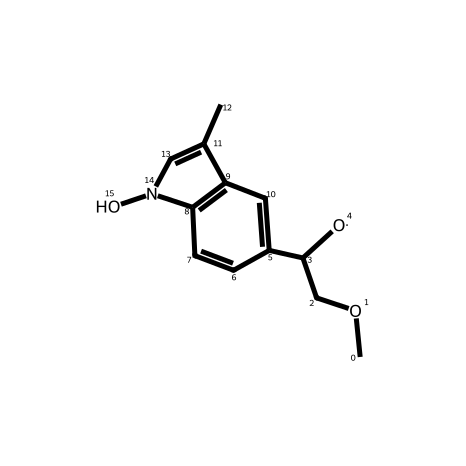 COCC([O])c1ccc2c(c1)c(C)cn2O